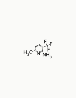 Cc1ccc(C(F)(F)F)cn1.N